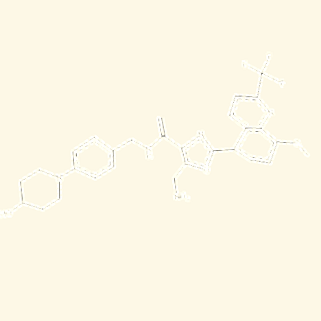 C=C(NCc1ccc(N2CCC(O)CC2)cc1)c1nc(-c2ccc(OC)c3nc(C(F)(F)F)ccc23)oc1CN